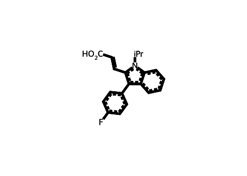 CC(C)n1c(/C=C/C(=O)O)c(-c2ccc(F)cc2)c2ccccc21